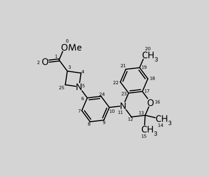 COC(=O)C1CN(c2cccc(N3CC(C)(C)Oc4cc(C)ccc43)c2)C1